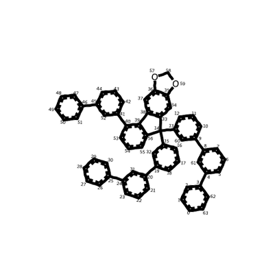 c1ccc(-c2cccc(-c3cccc(C4(c5cccc(-c6cccc(-c7ccccc7)c6)c5)c5cc6c(cc5-c5c(-c7cccc(-c8ccccc8)c7)cccc54)OCO6)c3)c2)cc1